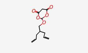 C=CCC(CC=C)COC1OC(=O)CC(=O)O1